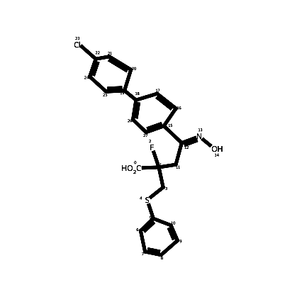 O=C(O)C(F)(CSc1ccccc1)C/C(=N\O)c1ccc(-c2ccc(Cl)cc2)cc1